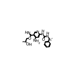 C[C@H](O)COC(=N)c1cnc(NC(=O)N[C@H](C)c2ccccc2)cc1N